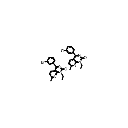 CCn1c(=O)nc(-c2cccc(Br)c2)c2ccc(C)nc21.CCn1c(=O)nc(-c2cccc(Cl)c2)c2ccc(C)nc21